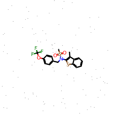 Cc1c(N(Cc2ccc(OC(F)(F)F)cc2)S(C)(=O)=O)sc2ccccc12